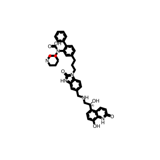 O=C(O)N(c1cc(CCCn2c(=O)[nH]c3cc(CNC[C@H](O)c4ccc(O)c5[nH]c(=O)ccc45)ccc32)ccc1-c1ccccc1)C1CN2CCC1CC2